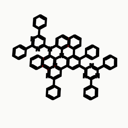 c1ccc(-c2cc(-c3cc(-c4nc(-c5ccccc5)nc(-c5ccccc5)n4)c(-c4ccccc4)c(-c4ccccc4)c3N3c4ccccc4N(c4cc(-c5ccccc5)nc(-c5ccccc5)n4)c4ccccc43)nc(-c3ccccc3)n2)cc1